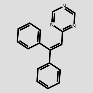 C(=C(c1ccccc1)c1ccccc1)c1ncncn1